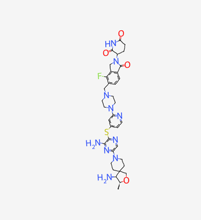 C[C@@H]1OCC2(CCN(c3cnc(Sc4ccnc(N5CCN(Cc6ccc7c(c6F)CN(C6CCC(=O)NC6=O)C7=O)CC5)c4)c(N)n3)CC2)[C@@H]1N